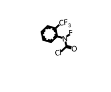 O=C(Cl)N(F)c1ccccc1C(F)(F)F